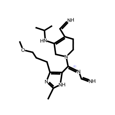 COCCCc1nc(C)[nH]c1/C(=N\C=N)N1CCC(C=N)=C(NC(C)C)C1